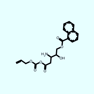 C=CCOC(=O)OC(=O)CC(N)C(O)COC(=O)c1cccc2ccccc12